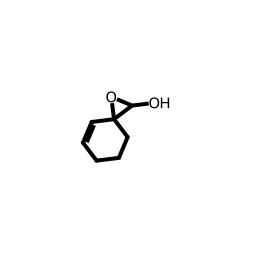 OC1OC12C=CCCC2